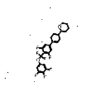 Fc1cc(OC(F)(F)c2c(F)cc(C3=CCC(C4CCCCO4)CC3)cc2F)cc(F)c1F